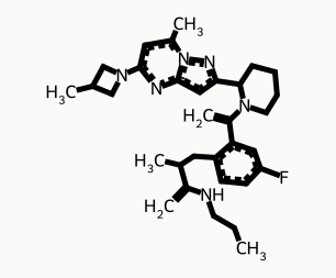 C=C(NCCC)C(C)Cc1ccc(F)cc1C(=C)N1CCCCC1c1cc2nc(N3CC(C)C3)cc(C)n2n1